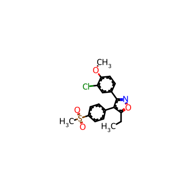 CCc1onc(-c2ccc(OC)c(Cl)c2)c1-c1ccc(S(C)(=O)=O)cc1